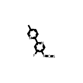 Cc1ccc(-c2cc(F)c(N=C=S)cn2)nc1